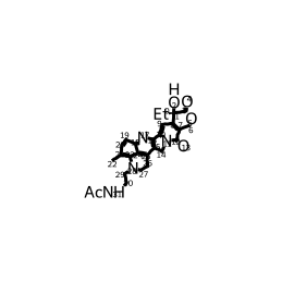 CC[C@@]1(O)C(=O)OCc2c1cc1n(c2=O)Cc2c-1nc1ccc(C)c3c1c2CCN3CCNC(C)=O